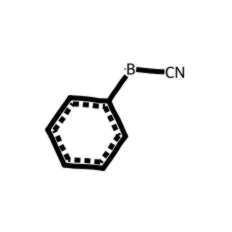 N#C[B]c1ccccc1